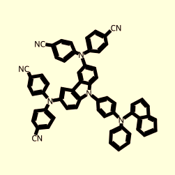 N#Cc1ccc(N(c2ccc(C#N)cc2)c2ccc3c(c2)c2cc(N(c4ccc(C#N)cc4)c4ccc(C#N)cc4)ccc2n3-c2ccc(N(c3ccccc3)c3cccc4ccccc34)cc2)cc1